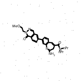 CCCN(CCC)C(=O)C1=Cc2ccc(-c3ccc4c(=O)n(CCOC)ncc4c3)cc2N=C(N)C1